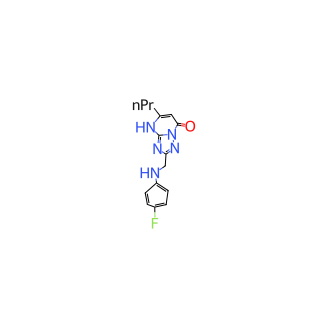 CCCc1cc(=O)n2nc(CNc3ccc(F)cc3)nc2[nH]1